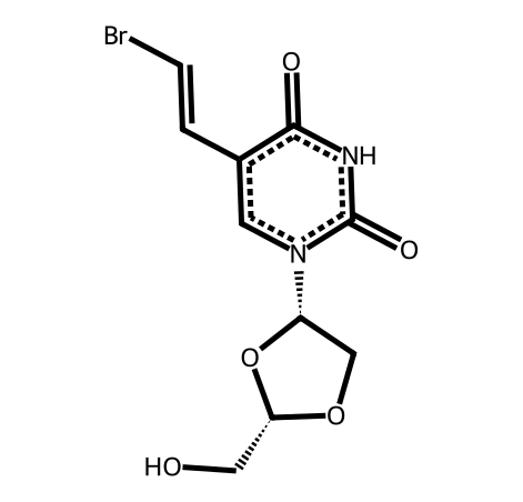 O=c1[nH]c(=O)n([C@@H]2CO[C@H](CO)O2)cc1C=CBr